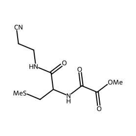 COC(=O)C(=O)NC(CSC)C(=O)NCCC#N